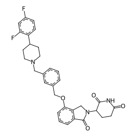 O=C1CCC(N2Cc3c(OCc4cccc(CN5CCC(c6ccc(F)cc6F)CC5)c4)cccc3C2=O)C(=O)N1